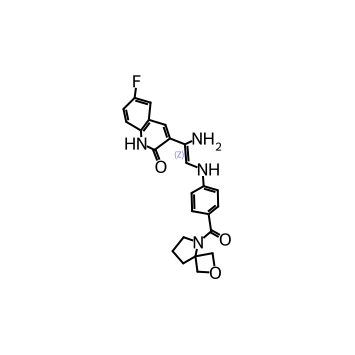 N/C(=C\Nc1ccc(C(=O)N2CCCC23COC3)cc1)c1cc2cc(F)ccc2[nH]c1=O